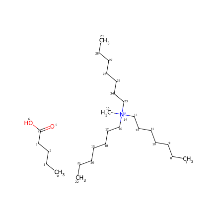 CCCCC(=O)O.CCCCCCC[N+](C)(CCCCCCC)CCCCCCC